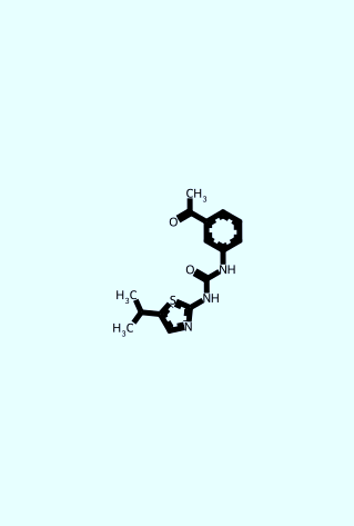 CC(=O)c1cccc(NC(=O)Nc2ncc(C(C)C)s2)c1